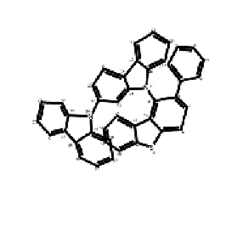 c1ccc(-c2ccc3sc4ccccc4c3c2-n2c3ccccc3c3ccc(-n4c5ccccc5c5ccccc54)cc32)cc1